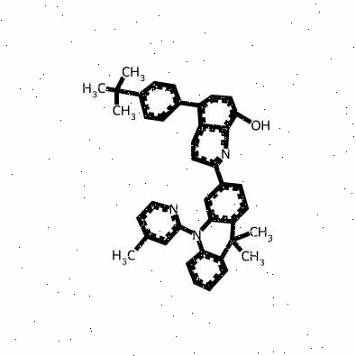 Cc1ccnc(N2c3ccccc3C(C)(C)c3ccc(-c4ccc5c(-c6ccc(C(C)(C)C)cc6)ccc(O)c5n4)cc32)c1